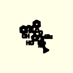 CC(C)(C)[C@@H](C(=O)N1CC(O)CC1C(=O)NC(Cc1cccc(O)c1)c1ccccc1)n1cc(C2CC2)nn1